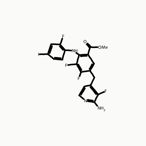 COC(=O)c1cc(Cc2ccnc(N)c2F)c(F)c(F)c1Nc1ccc(I)cc1F